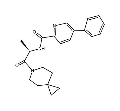 C[C@@H](NC(=O)c1ccc(-c2ccccc2)cn1)C(=O)N1CCC2(CC1)CC2